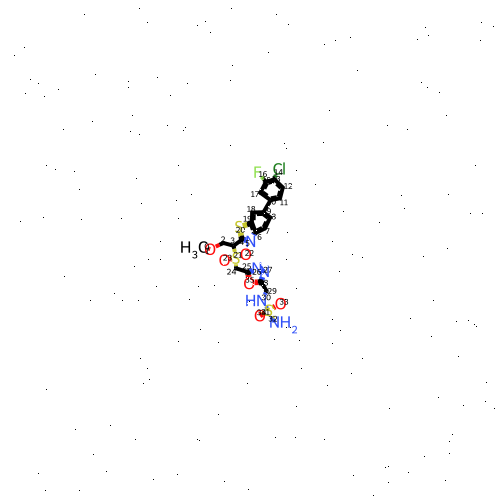 COCC(c1nc2ccc(-c3ccc(Cl)c(F)c3)cc2s1)S(=O)(=O)Cc1nnc(CNS(N)(=O)=O)o1